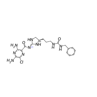 Nc1nc(N)c(C(=O)/N=C2\NC[C@@H](CCCNC(=O)NCc3ccccc3)N2)nc1Cl